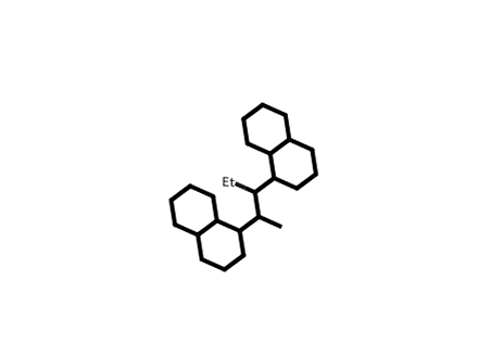 CCC(C(C)C1CCCC2CCCCC21)C1CCCC2CCCCC21